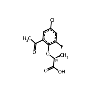 CC(=O)c1cc(Cl)cc(F)c1O[C@@H](C)C(=O)O